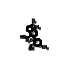 C=C1CCC2[C@H](CO)C([C@@]3(C)CC[C@H](C)C[C@@H]3CO)CC[C@]12C